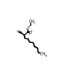 CCCCCCCC=C(C#N)C(=O)OCC